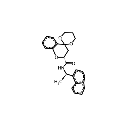 C[C@@H](NC(=O)[C@H]1CC2(OCCCO2)c2ccccc2O1)c1cccc2ccccc12